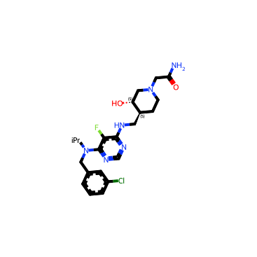 CC(C)N(Cc1cccc(Cl)c1)c1ncnc(NC[C@@H]2CCN(CC(N)=O)C[C@H]2O)c1F